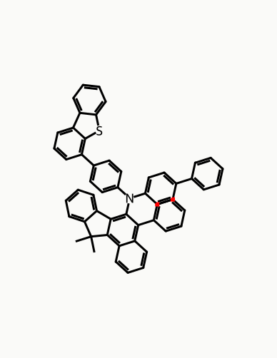 CC1(C)c2ccccc2-c2c(N(c3ccc(-c4ccccc4)cc3)c3ccc(-c4cccc5c4sc4ccccc45)cc3)c(-c3ccccc3)c3ccccc3c21